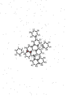 c1ccc(-c2ccc(N(c3cccc(-c4c(-c5ccccc5)cc(-c5ccccc5)cc4-c4ccccc4)c3)c3cccc4ccccc34)cc2)cc1